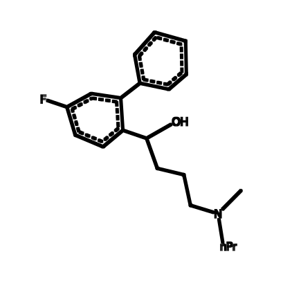 CCCN(C)CCCC(O)c1ccc(F)cc1-c1ccccc1